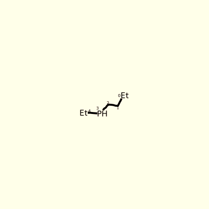 [CH2]CCCPCC